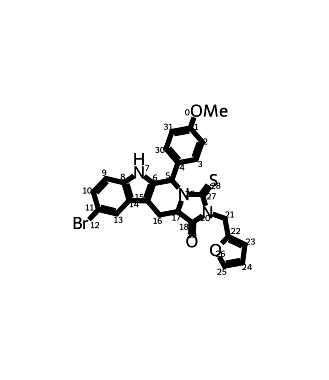 COc1ccc(C2c3[nH]c4ccc(Br)cc4c3CC3C(=O)N(Cc4ccco4)C(=S)N32)cc1